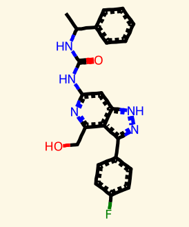 CC(NC(=O)Nc1cc2[nH]nc(-c3ccc(F)cc3)c2c(CO)n1)c1ccccc1